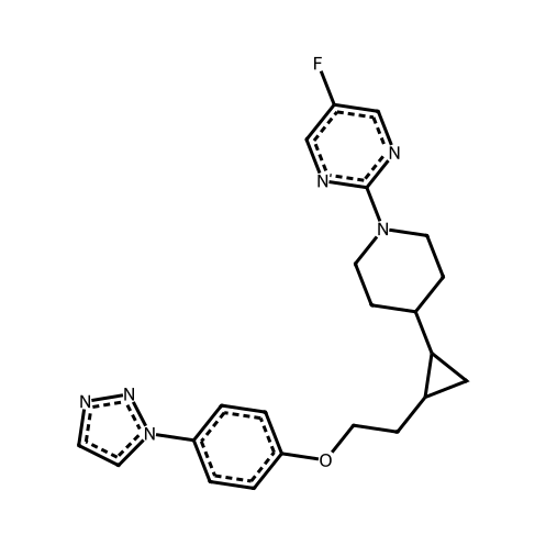 Fc1cnc(N2CCC(C3CC3CCOc3ccc(-n4ccnn4)cc3)CC2)nc1